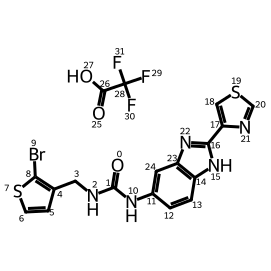 O=C(NCc1ccsc1Br)Nc1ccc2[nH]c(-c3cscn3)nc2c1.O=C(O)C(F)(F)F